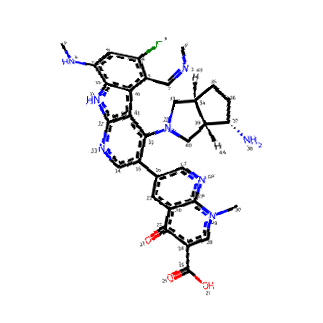 C/N=C\c1c(F)cc(NC)c2[nH]c3ncc(-c4cnc5c(c4)c(=O)c(C(=O)O)cn5C)c(N4C[C@@H]5CC[C@H](N)[C@@H]5C4)c3c12